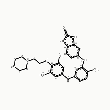 Cc1cnc(Nc2cc(C)c(OCCN3CCOCC3)c(C)c2)nc1Nc1ccc2oc(=O)[nH]c2c1